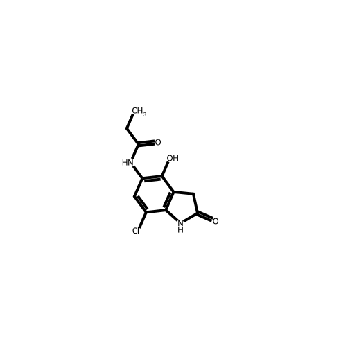 CCC(=O)Nc1cc(Cl)c2c(c1O)CC(=O)N2